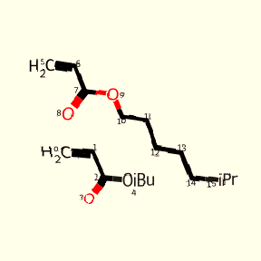 C=CC(=O)OCC(C)C.C=CC(=O)OCCCCCC(C)C